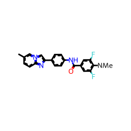 CNc1c(F)cc(C(=O)Nc2ccc(-c3cn4cc(C)ccc4n3)cc2)cc1F